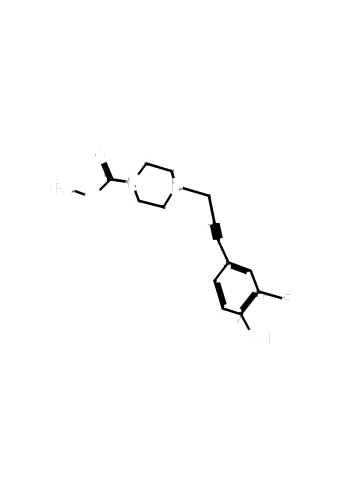 CC(C)(C)OC(=O)N1CCN(CC#Cc2ccc(O)c(F)c2)CC1